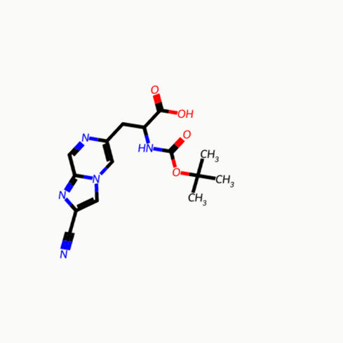 CC(C)(C)OC(=O)NC(Cc1cn2cc(C#N)nc2cn1)C(=O)O